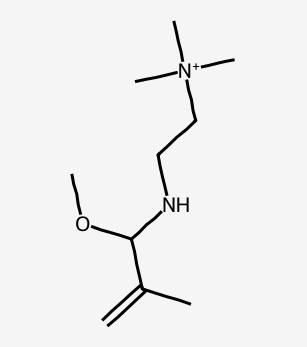 C=C(C)C(NCC[N+](C)(C)C)OC